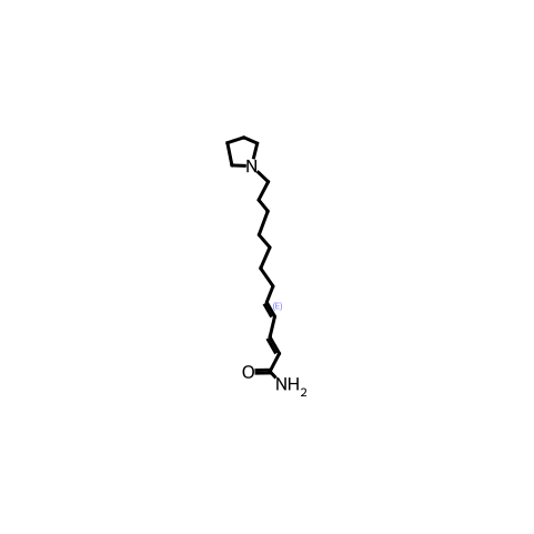 NC(=O)C=C/C=C/CCCCCCCN1CCCC1